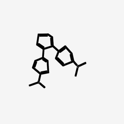 CB(C)c1ccc(-c2ccccc2-c2ccc(B(C)C)cc2)cc1